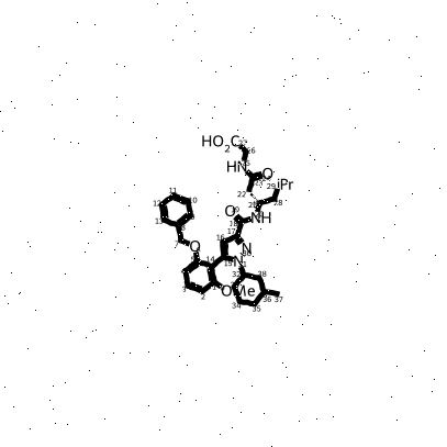 COc1cccc(OCc2ccccc2)c1-c1cc(C(=O)N[C@H](CC(=O)NCC(=O)O)CC(C)C)nn1C1CCCC(C)C1